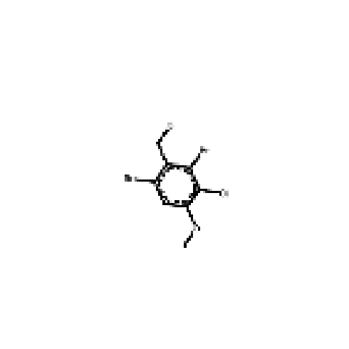 COc1cc(Br)c(CBr)c(Br)c1O